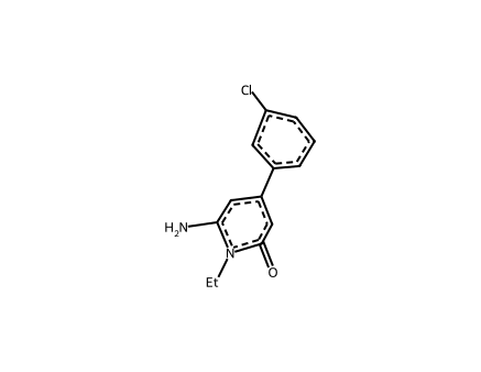 CCn1c(N)cc(-c2cccc(Cl)c2)cc1=O